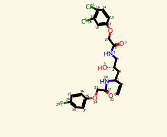 C=CC(C[C@H](O)CNC(=O)COc1ccc(Cl)c(Cl)c1)NC(=O)COc1ccc(F)cc1